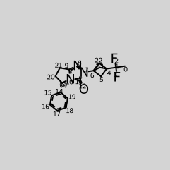 CC(F)(F)C12CC(n3nc4n(c3=O)[C@H](c3ccccc3)CC4)(C1)C2